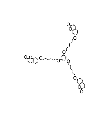 O=c1ccc2ccc(OCCCCCCOc3cc(OCCCCCCOc4ccc5ccc(=O)oc5c4)cc(OCCCCCCOc4ccc5ccc(=O)oc5c4)c3)cc2o1